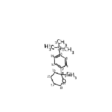 C[Si](C)(C)c1ccc(C2([SiH3])CCCCO2)cc1